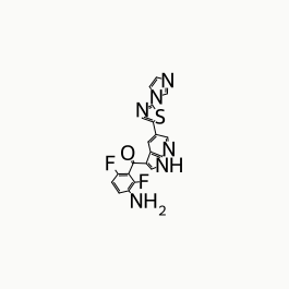 Nc1ccc(F)c(C(=O)c2c[nH]c3ncc(-c4cnc(-n5ccnc5)s4)cc23)c1F